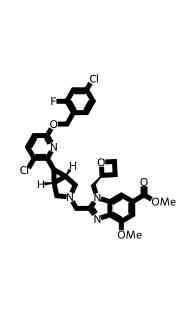 COC(=O)c1cc(OC)c2nc(CN3C[C@@H]4C(c5nc(OCc6ccc(Cl)cc6F)ccc5Cl)[C@@H]4C3)n(C[C@@H]3CCO3)c2c1